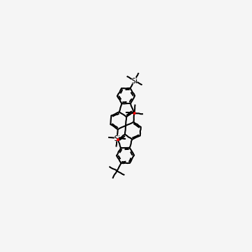 CC(C)(C)C1=CC=C2C(=Cc3cc(C(C)(C)C)ccc32)C12C1=Cc3cc([Si](C)(C)C)ccc3C1=CC=C2[Si](C)(C)C